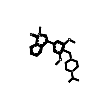 COc1cc(-c2cn(C)c(=O)c3ccccc23)cc(OC)c1CN1CCN(C(C)C)CC1